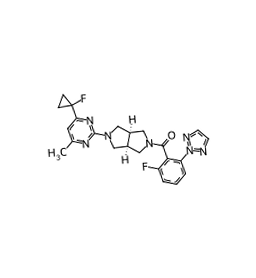 Cc1cc(C2(F)CC2)nc(N2C[C@H]3CN(C(=O)c4c(F)cccc4-n4nccn4)C[C@H]3C2)n1